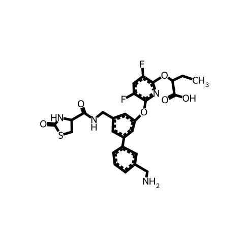 CCC(Oc1nc(Oc2cc(CNC(=O)C3CSC(=O)N3)cc(-c3cccc(CN)c3)c2)c(F)cc1F)C(=O)O